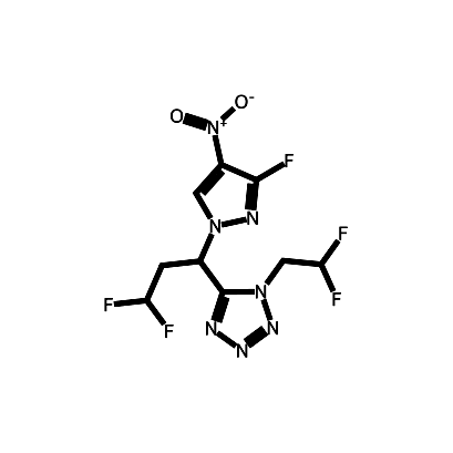 O=[N+]([O-])c1cn(C(CC(F)F)c2nnnn2CC(F)F)nc1F